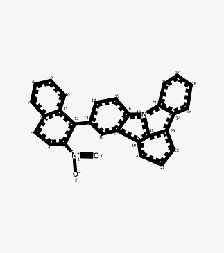 O=[N+]([O-])c1ccc2ccccc2c1-c1ccc2c(c1)c1cccc3c4ccccc4n2c31